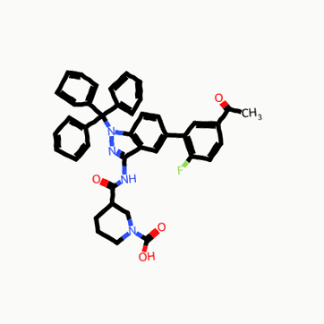 CC(=O)c1ccc(F)c(-c2ccc3c(c2)c(NC(=O)C2CCCN(C(=O)O)C2)nn3C(c2ccccc2)(c2ccccc2)c2ccccc2)c1